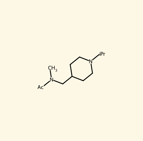 CC(=O)N(C)CC1CCN(C(C)C)CC1